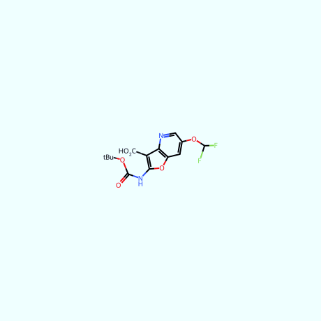 CC(C)(C)OC(=O)Nc1oc2cc(OC(F)F)cnc2c1C(=O)O